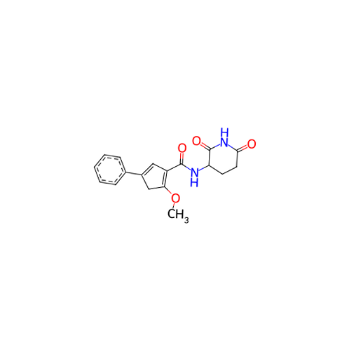 COC1=C(C(=O)NC2CCC(=O)NC2=O)C=C(c2ccccc2)C1